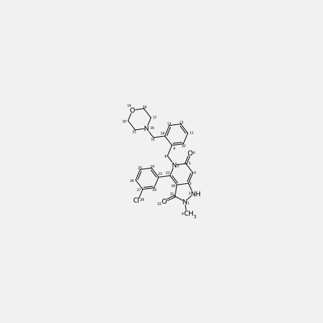 Cn1[nH]c2cc(=O)n(Cc3ccccc3CN3CCOCC3)c(-c3cccc(Cl)c3)c2c1=O